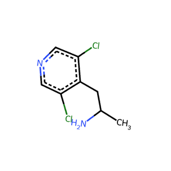 CC(N)Cc1c(Cl)cncc1Cl